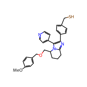 COc1ccc(COCC2CCCc3nc(-c4ccc(CS)cc4)c(-c4ccncc4)n32)cc1